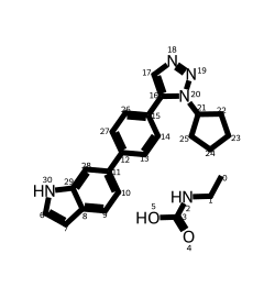 CCNC(=O)O.c1cc2ccc(-c3ccc(-c4cnnn4C4CCCC4)cc3)cc2[nH]1